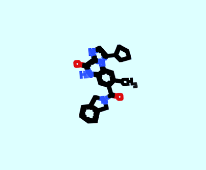 Cc1cc2c(cc1C(=O)N1Cc3ccccc3C1)[nH]c(=O)c1ncc(C3CCCC3)n12